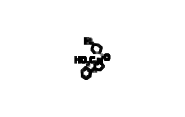 CC[C@H]1CC[C@H](C(=O)N2CC[C@@H](c3ccccc3)[C@H]2C(=O)O)CC1